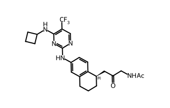 CC(=O)NCC(=O)C[C@H]1CCCc2cc(Nc3ncc(C(F)(F)F)c(NC4CCC4)n3)ccc21